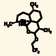 C[C@H]1C(OCC(F)(F)F)O[C@@H]2O[C@]3(C)CCC4[C@H](C)CCC1[C@]42OO3